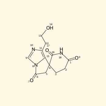 O=C1CCC2(CC(=O)n3cnc(CCO)c32)C(=O)N1